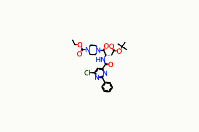 CCOC(=O)N1CCN(C(=O)[C@H](CC(=O)OC(C)(C)C)NC(=O)c2cc(Cl)nc(-c3ccccc3)n2)CC1